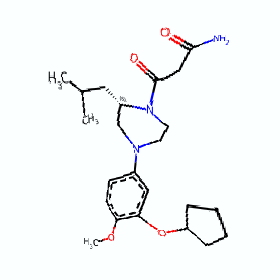 COc1ccc(N2CCN(C(=O)CC(N)=O)[C@@H](CC(C)C)C2)cc1OC1CCCC1